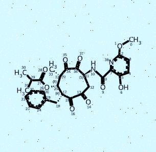 COc1ccc(O)c(C(=O)N[C@H]2CC(=O)C(=O)[C@H](Cc3ccccc3)[C@H](OC(=O)C(C)C)[C@H](C)C(=O)C2=O)n1